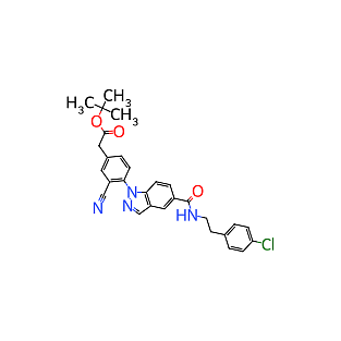 CC(C)(C)OC(=O)Cc1ccc(-n2ncc3cc(C(=O)NCCc4ccc(Cl)cc4)ccc32)c(C#N)c1